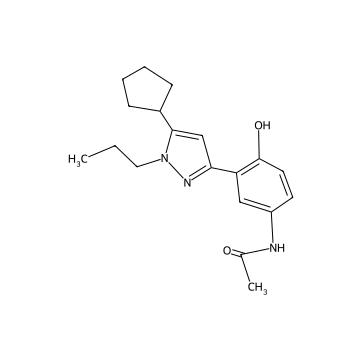 CCCn1nc(-c2cc(NC(C)=O)ccc2O)cc1C1CCCC1